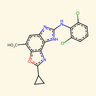 O=C(O)c1cc2nc(Nc3c(Cl)cccc3Cl)[nH]c2c2nc(C3CC3)oc12